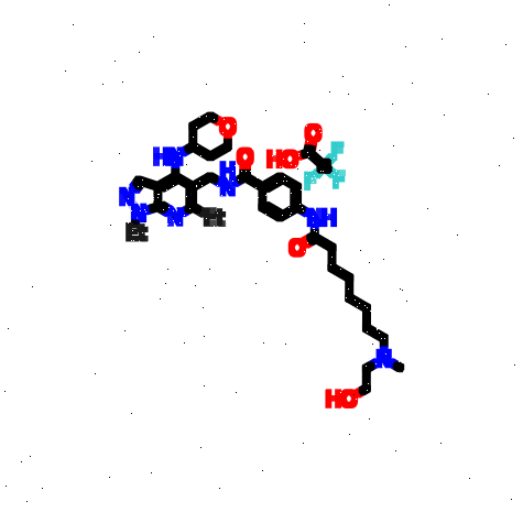 CCc1nc2c(cnn2CC)c(NC2CCOCC2)c1CNC(=O)c1ccc(NC(=O)CCCCCCCN(C)CCO)cc1.O=C(O)C(F)(F)F